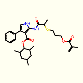 C=C(C)C(=O)OCCCSC(C)C(=O)Nc1[nH]cc(-c2ccccc2)c1C(=O)OC1C(C)CC(C)CC1C